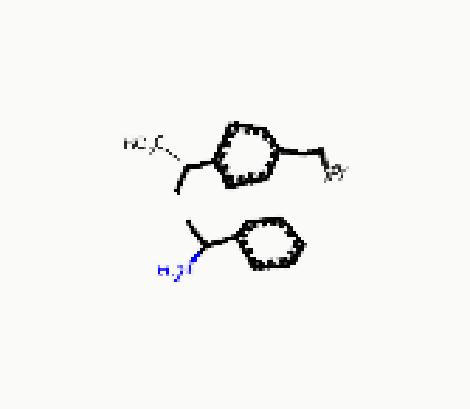 CC(C)Cc1ccc([C@H](C)C(=O)O)cc1.CC(N)c1ccccc1